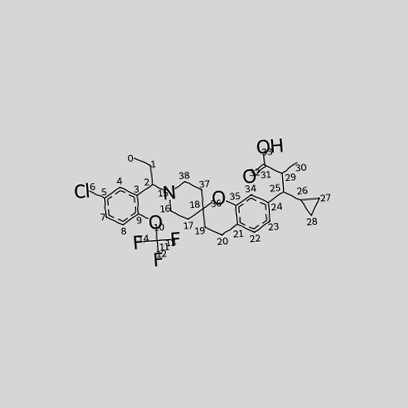 CCC(c1cc(Cl)ccc1OC(F)(F)F)N1CCC2(CCc3ccc(C(C4CC4)C(C)C(=O)O)cc3O2)CC1